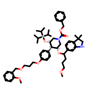 COCCCC(O[C@H]1CN(C(=O)OCc2ccccc2)C[C@@H](O[Si](C(C)C)(C(C)C)C(C)C)[C@@H]1c1ccc(OCCCOCc2ccccc2OC)cc1)c1ccc2c(c1)NCC2(C)C